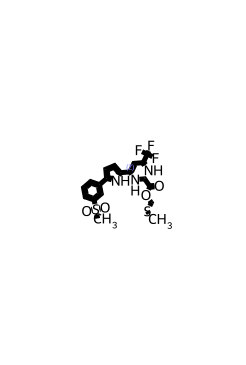 CSCOC(=O)CN/C(=C\C(=N)C(F)(F)F)c1ccc(-c2cccc(S(C)(=O)=O)c2)[nH]1